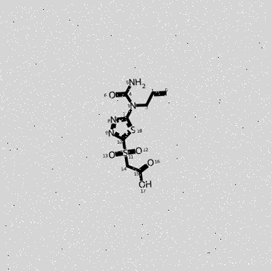 C=CCN(C(N)=O)c1nnc(S(=O)(=O)CC(=O)O)s1